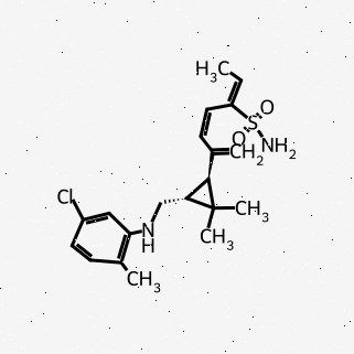 C=C(/C=C\C(=C/C)S(N)(=O)=O)[C@@H]1[C@@H](CNc2cc(Cl)ccc2C)C1(C)C